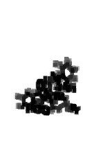 CC(C)c1ccc2c(c1)OC1(O)C3=C(CCC=C3)C(=O)C21NC(=O)c1nc2ccccc2[nH]1